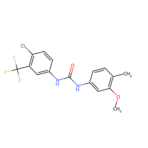 COc1cc(NC(=O)Nc2ccc(Cl)c(C(F)(F)F)c2)ccc1C